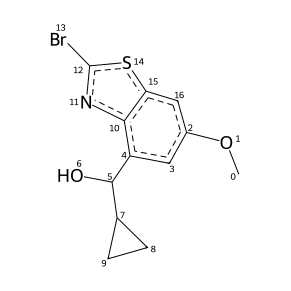 COc1cc(C(O)C2CC2)c2nc(Br)sc2c1